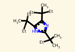 CCC(C)(C)c1nc(C(C)(CC)CC)c(C(C)(CC)CC)[nH]1